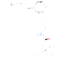 COCc1cccc(OCCNC(=O)OC(C)(C)C)c1